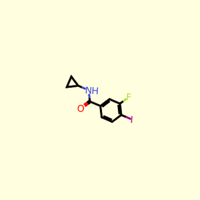 O=C(NC1CC1)c1ccc(I)c(F)c1